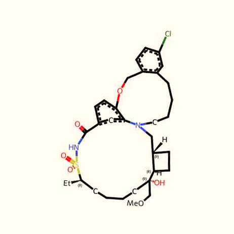 CC[C@@H]1CCCC[C@](O)(COC)[C@@H]2CC[C@H]2CN2CCCCc3cc(Cl)ccc3COc3ccc(cc32)C(=O)NS1(=O)=O